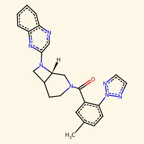 Cc1ccc(-n2nccn2)c(C(=O)N2CCC3CN(c4cnc5ccccc5n4)[C@@H]3C2)c1